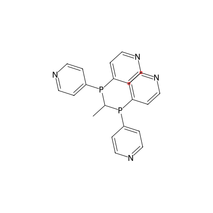 CC(P(c1ccncc1)c1ccncc1)P(c1ccncc1)c1ccncc1